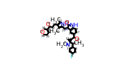 C=NC1([C@H](C)c2ccc(F)cc2)CC1C(=O)c1ccc2c(c1)/C(=C/c1[nH]c(C)c(CCC(=O)C3=CCCOC3)c1C)C(=O)N2